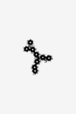 c1ccc(-n2c3ccccc3c3cc(-c4ccc(N(c5ccc(-c6ccc7ccccc7c6)cc5)c5ccc6c(c5)sc5ccccc56)cc4)ccc32)cc1